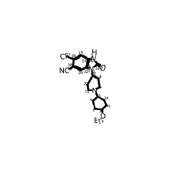 CCOC1CCC(N2CCC(n3c(=O)[nH]c4cc(Cl)c(C#N)cc43)CC2)CC1